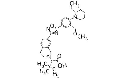 CCC1CCCCN1c1ccc(-c2nc(-c3ccc4c(c3)CN(C(C(=O)O)C(C)(C)C)CC4)no2)cc1COC